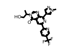 CC(CO)n1cnc2c(-c3cnn(C)c3)nc(-c3ccc(C(F)(F)F)cn3)cc2c1=O